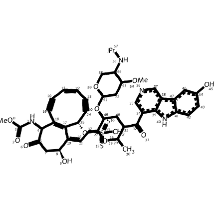 COC(=O)NC1C(=O)C[C@H](O)/C(=C/CS(C)(=S)=S)C2=C1C#C/C=C\C#C[C@@H]2OC1OC(C)C(C(=O)c2cncc3c2[nH]c2ccc(O)cc23)CC1OC1CC(OC)C(NC(C)C)CO1